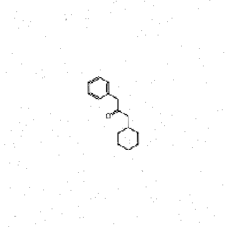 O=C(Cc1ccccc1)CC1CCCCC1